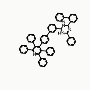 c1ccc(C2=NC(c3ccccc3-c3ccccc3)NC(c3cccc(-c4ccc(-c5c(-c6ccccc6)c(-c6ccccc6)nc(-c6ccccc6)c5-c5ccccc5)cc4)c3)N2)cc1